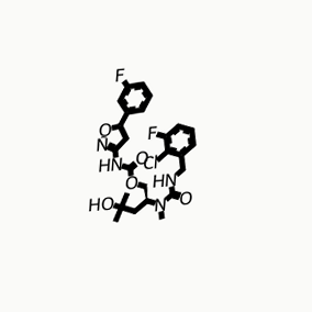 CN(C(=O)NCc1cccc(F)c1Cl)[C@H](COC(=O)NC1=NOC(c2cccc(F)c2)C1)CC(C)(C)O